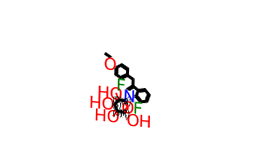 CCOc1ccc(Cc2cn([C@@H]3O[C@H](CO)[C@@H](O)[C@H](O)[C@H]3O)c3c(F)cccc23)c(F)c1